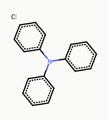 [C].c1ccc(N(c2ccccc2)c2ccccc2)cc1